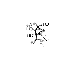 C[C@@H](O)[C@](O)(N=[N+]=[N-])[C@H](O)[C@](O)(C=O)N=[N+]=[N-]